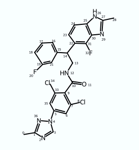 Cc1ncn(-c2cc(Cl)c(C(=O)NCC(c3cccc(F)c3)c3ccc4[nH]c(C)nc4c3F)c(Cl)c2)n1